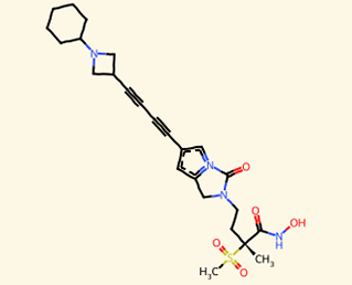 C[C@@](CCN1Cc2cc(C#CC#CC3CN(C4CCCCC4)C3)cn2C1=O)(C(=O)NO)S(C)(=O)=O